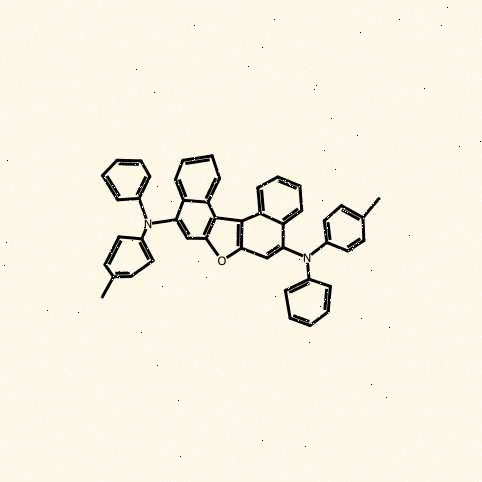 Cc1ccc(N(c2ccccc2)c2cc3oc4cc(N(c5ccccc5)c5ccc(C)cc5)c5ccccc5c4c3c3ccccc23)cc1